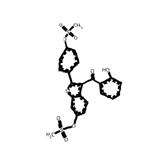 CS(=O)(=O)Oc1ccc(-c2sc3cc(OS(C)(=O)=O)ccc3c2C(=O)c2ccccc2O)cc1